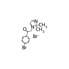 CC1(C)N=CC=[N+]1CC(=O)c1ccc(Br)cc1.[Br-]